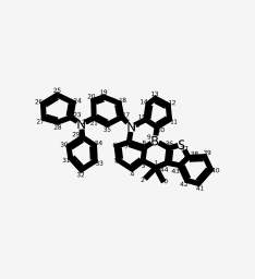 CC1(C)c2cccc3c2B(c2ccccc2N3c2cccc(N(c3ccccc3)c3ccccc3)c2)c2sc3ccccc3c21